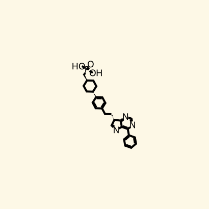 O=P(O)(O)C[C@H]1CC[C@H](c2ccc(CC[C@H]3C=Nc4c(-c5ccccc5)ncnc43)cc2)CC1